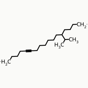 [CH2]CCCC#CCCCCCCC(CCC[CH2])C(C)C